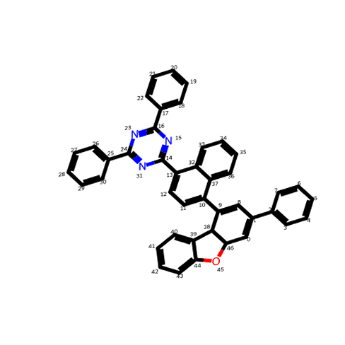 C1=C(c2ccccc2)C=C(c2ccc(-c3nc(-c4ccccc4)nc(-c4ccccc4)n3)c3ccccc23)C2c3ccccc3OC12